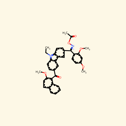 CCn1c2ccc(C(=O)c3c(OC)ccc4ccccc34)cc2c2cc(/C(=N\OC(C)=O)c3ccc(OC)cc3OC)ccc21